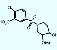 COC1CN(S(=O)(=O)c2ccc(Cl)c(C(=O)O)c2)CCC1O